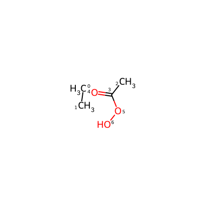 CC.CC(=O)OO